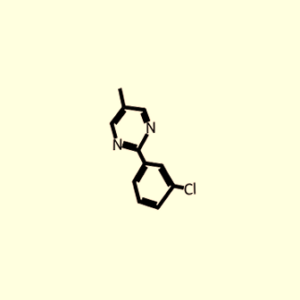 Cc1cnc(-c2cccc(Cl)c2)nc1